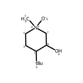 CC(C)(C)C1CC[N+](C)([O-])CC1O